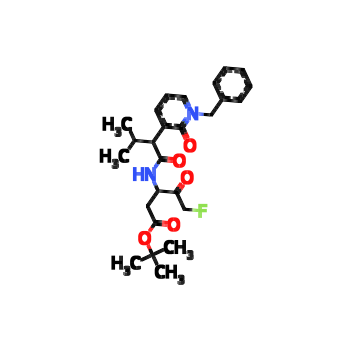 CC(C)C(C(=O)NC(CC(=O)OC(C)(C)C)C(=O)CF)c1cccn(Cc2ccccc2)c1=O